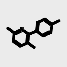 Cc1ccc(-c2nc(C)ccc2C)cc1